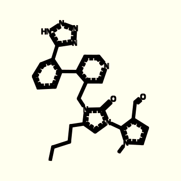 CCCCc1cn(-c2c(C=O)ccn2C)c(=O)n1Cc1cnccc1-c1ccccc1-c1nnn[nH]1